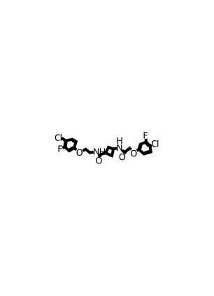 O=C(COc1ccc(Cl)c(F)c1)NC12CC(C(=O)NCCOc3ccc(Cl)c(F)c3)(C1)C2